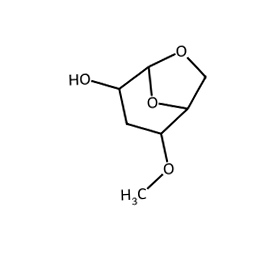 COC1CC(O)C2OCC1O2